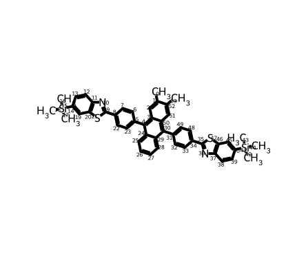 Cc1cc2c(-c3ccc(-c4nc5ccc([Si](C)(C)C)cc5s4)cc3)c3ccccc3c(-c3ccc(-c4nc5ccc([Si](C)(C)C)cc5s4)cc3)c2cc1C